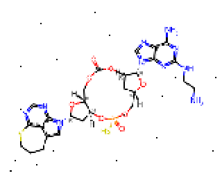 NCCNc1nc(N)c2ncn([C@@H]3O[C@@H]4COP(=O)(S)O[C@H]5C[C@H](n6cc7c8c(ncnc86)SCCC7)O[C@@H]5COC(=O)O[C@@H]3C4)c2n1